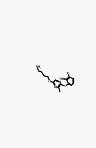 Cc1nc(NCCCCN)cnc1Sc1cccc(Cl)c1Cl